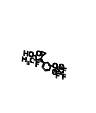 CC(F)(C(=O)O)[C@H](c1cccc(OS(=O)(=O)C(F)(F)F)c1)C1CC1